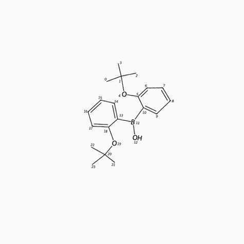 CC(C)(C)Oc1ccccc1B(O)c1ccccc1OC(C)(C)C